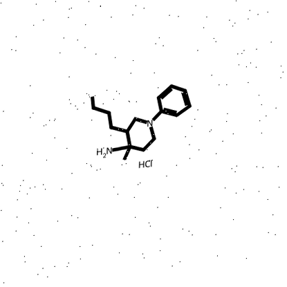 CCCCC1CN(c2ccccc2)CCC1(C)N.Cl